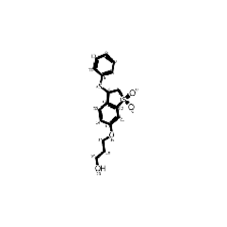 O=S1(=O)CC(Sc2ccccc2)c2ccc(OCCCO)cc21